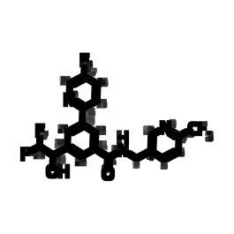 O=C(NCc1ccc(C(F)(F)F)nc1)c1cc(-c2ccc(F)cn2)cc(C(O)C(F)F)c1